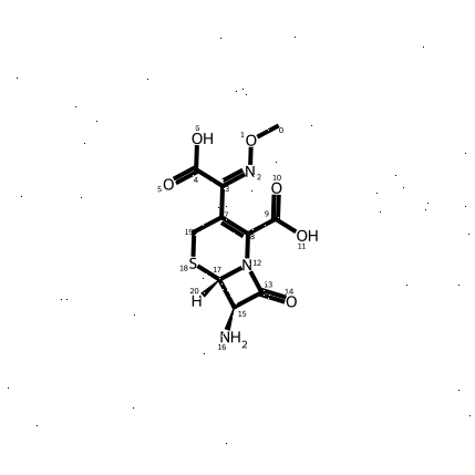 CON=C(C(=O)O)C1=C(C(=O)O)N2C(=O)[C@@H](N)[C@@H]2SC1